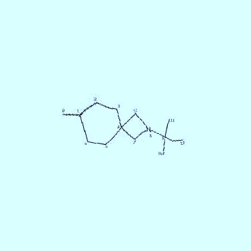 CC1CCC2(CC1)CN(C(C)(C)C)C2